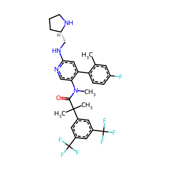 Cc1cc(F)ccc1-c1cc(NC[C@@H]2CCCN2)ncc1N(C)C(=O)C(C)(C)c1cc(C(F)(F)F)cc(C(F)(F)F)c1